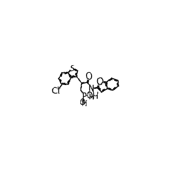 O=C(Nc1cc2ccccc2o1)C(C[PH](=O)O)c1csc2ccc(Cl)cc12